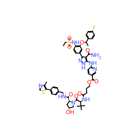 CCS(=O)(=O)Nc1ccc(-c2n[nH]c(Nc3ccc(C(=O)OCCCC(=O)NC(C(=O)N4C[C@H](O)C[C@H]4C(=O)NCc4ccc(-c5scnc5C)cc4)C(C)(C)C)cn3)c2C(N)=O)cc1OC(C)c1ccc(F)cc1